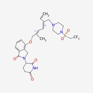 C=C/C(=C\C=C(/C)COc1cccc2c1CN(C1CCC(=O)NC1=O)C2=O)CN1CCN(S(=O)(=O)CC(F)(F)F)CC1